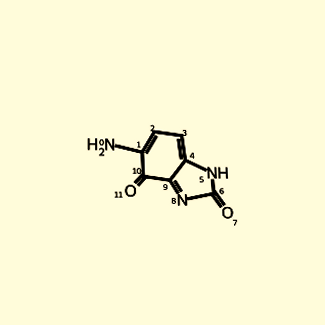 NC1=CC=C2NC(=O)N=C2C1=O